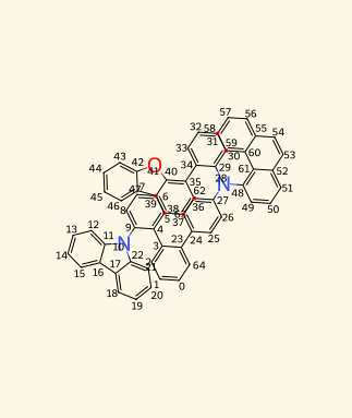 c1ccc(-c2ccccc2-n2c3ccccc3c3ccccc32)c(-c2ccc(N(c3ccccc3-c3cccc4c3oc3ccccc34)c3cccc4ccc5ccccc5c34)cc2)c1